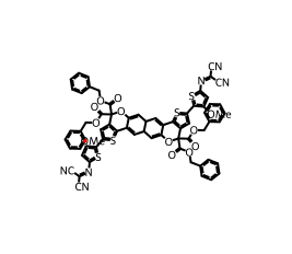 COc1cc(N=C(C#N)C#N)sc1-c1cc2c(s1)C1=CC3C=C4OC(C(=O)OCc5ccccc5)(C(=O)OCc5ccccc5)c5cc(-c6sc(N=C(C#N)C#N)cc6OC)sc5C4=CC3C=C1OC2(C(=O)OCc1ccccc1)C(=O)OCc1ccccc1